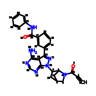 C#CC(=O)N1CC2CC1C(n1nc(-c3cccc(C(=O)Nc4ccccc4)c3)c3c(N)ncnc31)C2